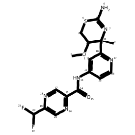 COC1CSC(N)=N[C@]1(C)c1cc(NC(=O)c2cnc(C(F)F)cn2)ccn1